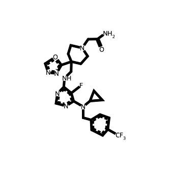 NC(=O)CN1CCC(CNc2ncnc(N(Cc3ccc(C(F)(F)F)cc3)C3CC3)c2F)(c2nnco2)CC1